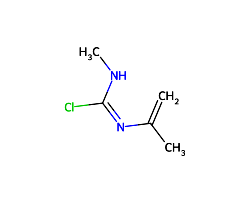 C=C(C)/N=C(/Cl)NC